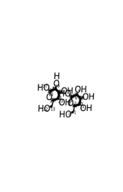 OC[C@H]1O[C@@H](O)[C@@H](O)[C@@H](O)[C@H]1O.OC[C@H]1O[C@@H](O)[C@H](O)[C@@H](O)[C@H]1O